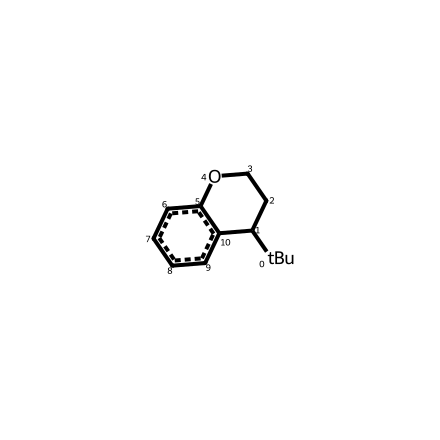 CC(C)(C)C1CCOc2ccccc21